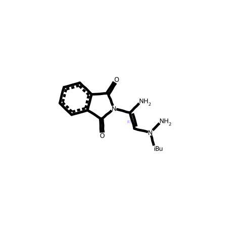 CCC(C)N(N)/C=C(\N)N1C(=O)c2ccccc2C1=O